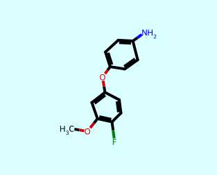 COc1cc(Oc2ccc(N)cc2)ccc1F